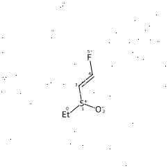 CC[S+]([O-])/C=C/F